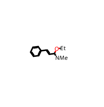 CCOC(C=Cc1ccccc1)NC